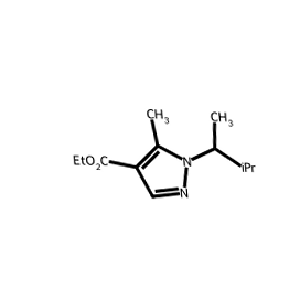 CCOC(=O)c1cnn(C(C)C(C)C)c1C